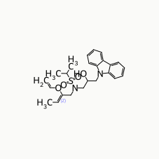 C=CO/C(=C\C)CN(CC(O)Cn1c2ccccc2c2ccccc21)S(=O)(=O)C(C)C